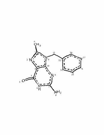 Cc1nc2c(=O)[nH]c(N)nc2n1Cc1cccnc1